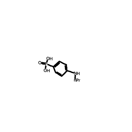 CCCNc1ccc(P(=O)(O)O)cc1